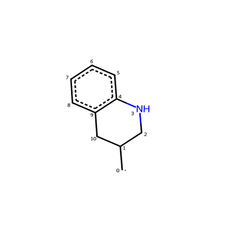 [CH2]C1CNc2ccccc2C1